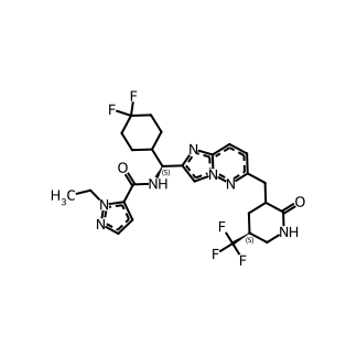 CCn1nccc1C(=O)N[C@H](c1cn2nc(CC3C[C@H](C(F)(F)F)CNC3=O)ccc2n1)C1CCC(F)(F)CC1